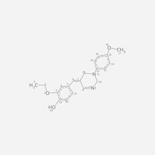 CCOc1cc(/C=C2\C=NCN(c3ccc(OC)cc3)C2)ccc1O